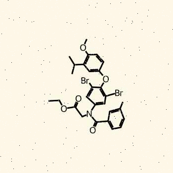 CCOC(=O)CN(C(=O)c1cccc(C)c1)c1cc(Br)c(Oc2ccc(OC)c(C(C)C)c2)c(Br)c1